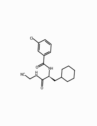 N#CCNC(=O)[C@H](CC1CCCCC1)NC(=O)c1cccc(Cl)c1